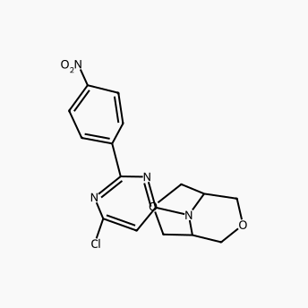 O=[N+]([O-])c1ccc(-c2nc(Cl)cc(N3C4COCC3COC4)n2)cc1